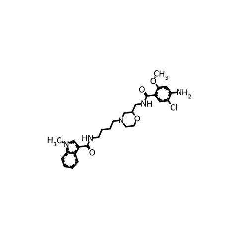 COc1cc(N)c(Cl)cc1C(=O)NCC1CN(CCCCNC(=O)c2cn(C)c3ccccc23)CCO1